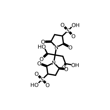 O=C(O)CC(C(=O)O)(N1C(=O)CC(S(=O)(=O)O)C1=O)N1C(=O)CC(S(=O)(=O)O)C1=O